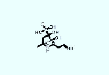 CC(CC(O)(P(=O)(O)O)P(=O)(O)O)NCCC=N